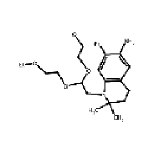 CCOCCOC(CN1c2cc(C(C)C)c(N)cc2CCC1(C)C)OCCO